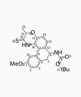 COc1ccc(CC(NC(=O)OC(C)(C)C)c2ccc3c(c2)NC(=S)C(C)O3)cc1